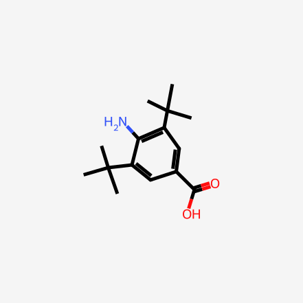 CC(C)(C)c1cc(C(=O)O)cc(C(C)(C)C)c1N